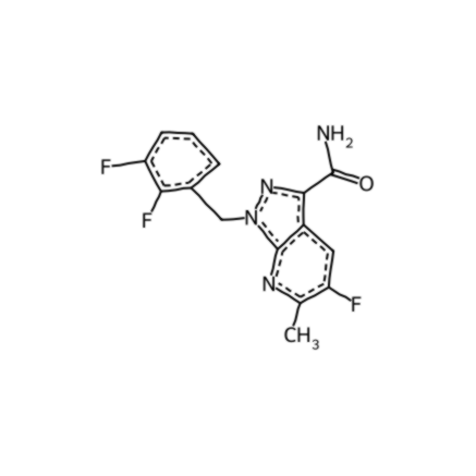 Cc1nc2c(cc1F)c(C(N)=O)nn2Cc1cccc(F)c1F